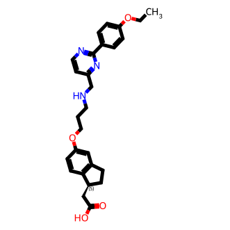 CCOc1ccc(-c2nccc(CNCCCOc3ccc4c(c3)CC[C@H]4CC(=O)O)n2)cc1